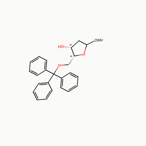 COC1C[C@@H](O)[C@@H](COC(c2ccccc2)(c2ccccc2)c2ccccc2)O1